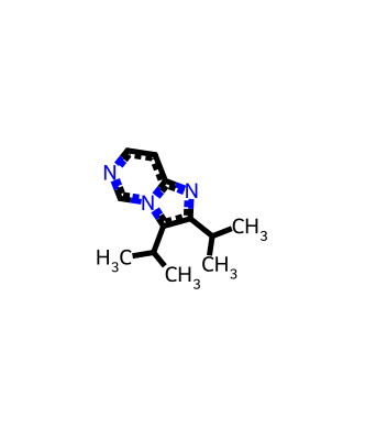 CC(C)c1nc2ccncn2c1C(C)C